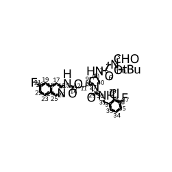 CC(C)(C)ON(C=O)CC(=O)N[C@@H]1C[C@@H](COC(=O)Nc2cc3cc(F)ccc3cn2)N(C(=O)NCc2cccc(F)c2Cl)C1